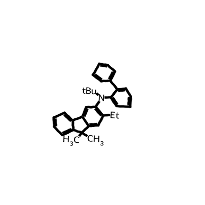 CCc1cc2c(cc1N(c1ccccc1-c1ccccc1)C(C)(C)C)-c1ccccc1C2(C)C